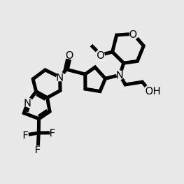 COC1COCCC1N(CCO)C1CCC(C(=O)N2CCc3ncc(C(F)(F)F)cc3C2)C1